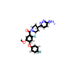 COc1cc(C(=O)N2CCC(c3ccc(N)nn3)CC2)c(F)cc1Oc1ccc(F)cc1